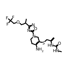 C=C(CSC1=C(N)CCN(c2nc(C(C)COCC(F)(F)F)no2)C1)NC(=O)NC